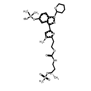 C[C@@H](CCNC(=O)OCCc1nc(-c2nn(C3CCCCO3)c3ccc(O[Si](C)(C)C(C)(C)C)cc23)cn1C)OS(C)(=O)=O